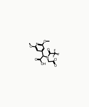 COc1cc(C(C(=O)O)N(CC(=O)Cl)C(=O)C(F)(F)F)cc(OC)n1